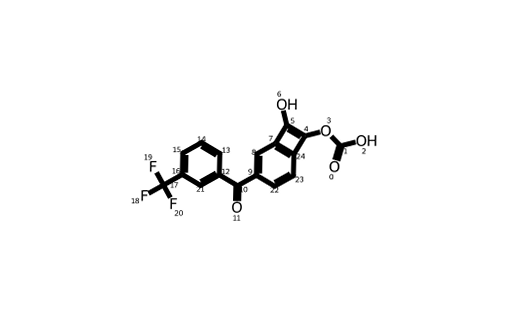 O=C(O)OC1=C(O)c2cc(C(=O)c3cccc(C(F)(F)F)c3)ccc21